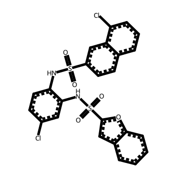 O=S(=O)(Nc1ccc(Cl)cc1NS(=O)(=O)c1cc2ccccc2o1)c1ccc2cccc(Cl)c2c1